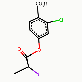 CC(I)C(=O)Oc1ccc(C(=O)O)c(Cl)c1